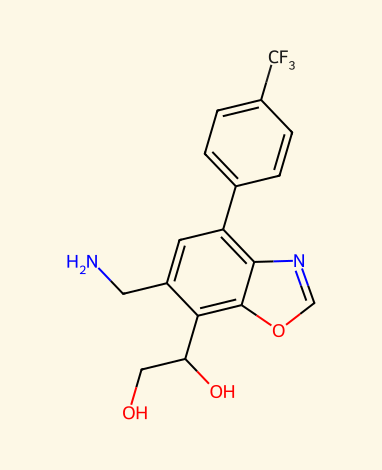 NCc1cc(-c2ccc(C(F)(F)F)cc2)c2ncoc2c1C(O)CO